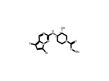 CC(C)(C)OC(=O)N1CC[C@@H](Nc2ncc3c(F)cc(Br)n3n2)[C@H](O)C1